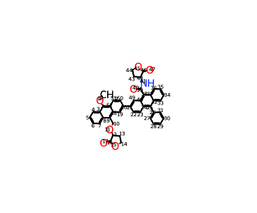 COc1c2ccccc2c(COC2CCOC2=O)c2cc(-c3ccc4c(-c5ccccc5)c5ccccc5c(C(=O)NC5CCOC5=O)c4c3)ccc12